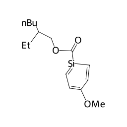 CCCCC(CC)COC(=O)[si]1ccc(OC)cc1